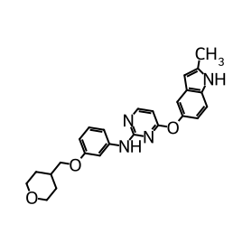 Cc1cc2cc(Oc3ccnc(Nc4cccc(OCC5CCOCC5)c4)n3)ccc2[nH]1